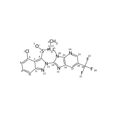 CC[S+]([O-])c1c2c(Cl)cccc2nn1-c1nc2cc(C(F)(F)F)cnc2n1C